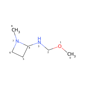 COCNC1CCN1C